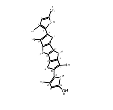 Oc1cc(I)c(-c2sc3c(sc4c5sc(-c6sc(O)cc6I)c(I)c5sc34)c2I)s1